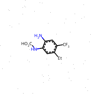 CCc1cc(NC(=O)O)c(N)cc1C(F)(F)F